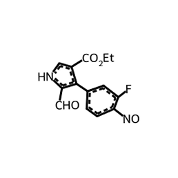 CCOC(=O)c1c[nH]c(C=O)c1-c1ccc(N=O)c(F)c1